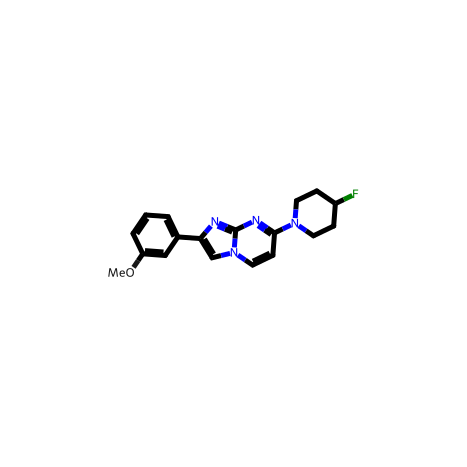 COc1cccc(-c2cn3ccc(N4CCC(F)CC4)nc3n2)c1